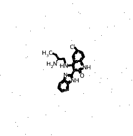 CC[C@H](N)CNc1c(-c2nc3ccccc3[nH]2)c(=O)[nH]c2ccc(Cl)cc12